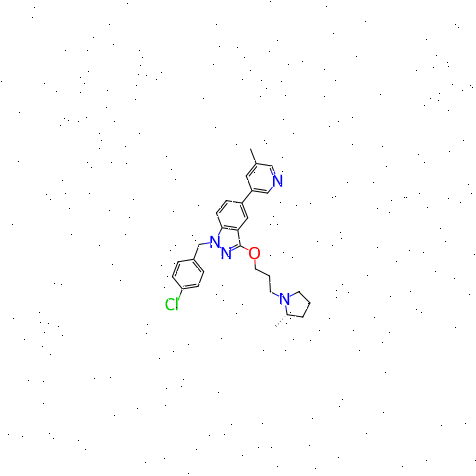 Cc1cncc(-c2ccc3c(c2)c(OCCCN2CCC[C@@H]2C)nn3Cc2ccc(Cl)cc2)c1